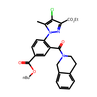 CCCCOC(=O)c1ccc(-n2nc(C(=O)OCC)c(Cl)c2C)c(C(=O)N2CCc3ccccc3C2)c1